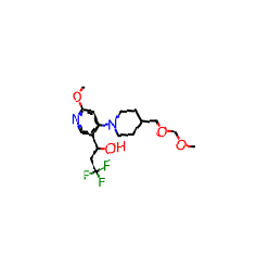 COCOCC1CCN(c2cc(OC)ncc2C(O)CC(F)(F)F)CC1